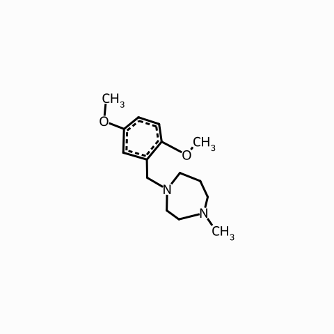 COc1ccc(OC)c(CN2CCCN(C)CC2)c1